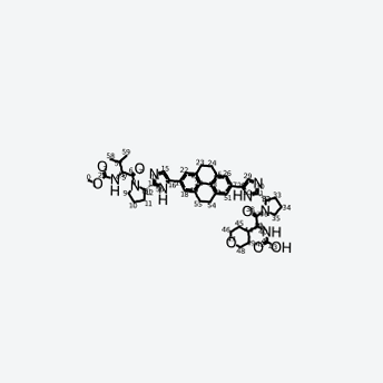 COC(=O)N[C@H](C(=O)N1CCC[C@H]1c1ncc(-c2cc3c4c(c2)CCc2cc(-c5cnc([C@@H]6CCCN6C(=O)[C@@H](NC(=O)O)C6CCOCC6)[nH]5)cc(c2-4)CC3)[nH]1)C(C)C